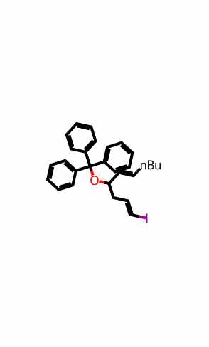 CCCC/C=C/C(C/C=C/I)OC(c1ccccc1)(c1ccccc1)c1ccccc1